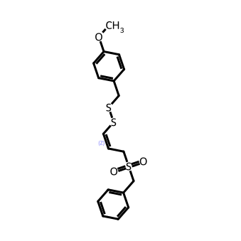 COc1ccc(CSS/C=C\CS(=O)(=O)Cc2ccccc2)cc1